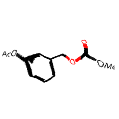 COC(=O)OCc1cccc(OC(C)=O)c1